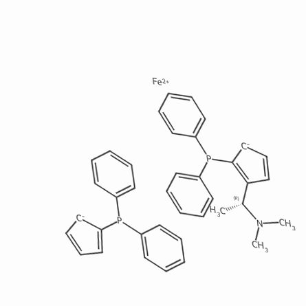 C[C@H](c1cc[cH-]c1P(c1ccccc1)c1ccccc1)N(C)C.[Fe+2].c1ccc(P(c2ccccc2)c2ccc[cH-]2)cc1